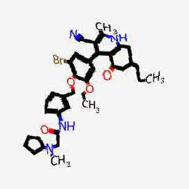 CCCC1CC(=O)C2=C(C1)NC(C)=C(C#N)C2c1cc(Br)c(OCc2cccc(NC(=O)CN(C)C3CCCC3)c2)c(OCC)c1